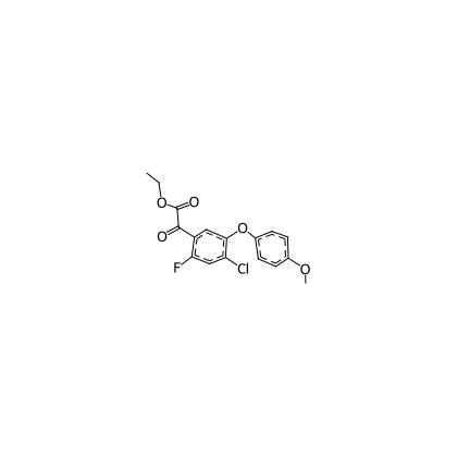 CCOC(=O)C(=O)c1cc(Oc2ccc(OC)cc2)c(Cl)cc1F